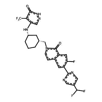 O=c1[nH]ncc(N[C@H]2CCC[C@@H](Cn3ccc4cc(-c5ncc(C(F)F)cn5)c(F)cc4c3=O)C2)c1C(F)(F)F